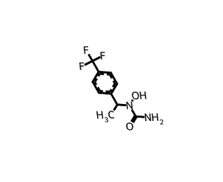 CC(c1ccc(C(F)(F)F)cc1)N(O)C(N)=O